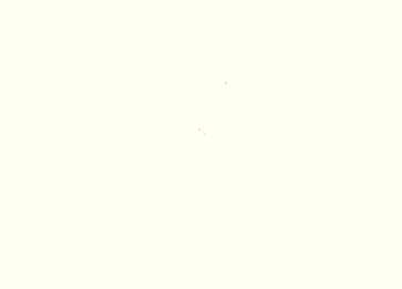 O=C(O)CN1C(=O)C([SH]2C=CC=C2)=C([SH]2C=CC=C2)C1=O